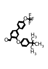 CC(C)(C)c1ccc(Oc2cc(-c3ccc(OC(F)(F)F)cc3)ccc2C=O)cc1